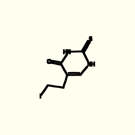 O=c1[nH]c(=S)[nH]cc1CCI